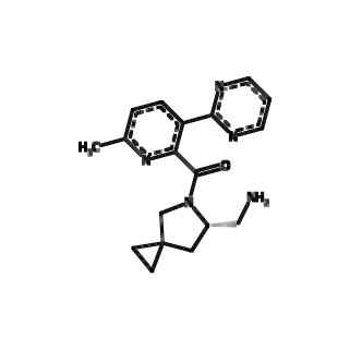 Cc1ccc(-c2ncccn2)c(C(=O)N2CC3(CC3)C[C@H]2CN)n1